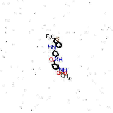 CS(=O)(=O)Nc1cccc(C(=O)N[C@H]2CC[C@@H](Nc3cccc4sc(C(F)(F)F)cc34)CC2)c1